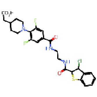 O=C(O)CC1CCN(c2c(F)cc(C(=O)NCCNC(=O)C3Sc4ccccc4C3Cl)cc2F)CC1